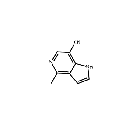 Cc1ncc(C#N)c2[nH]ccc12